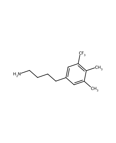 Cc1cc(CCCCN)cc(C(F)(F)F)c1C